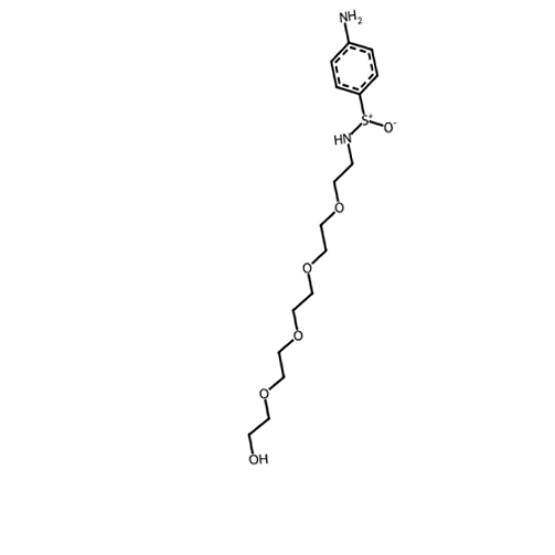 Nc1ccc([S+]([O-])NCCOCCOCCOCCOCCO)cc1